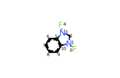 FN1CN(F)c2ccccc21